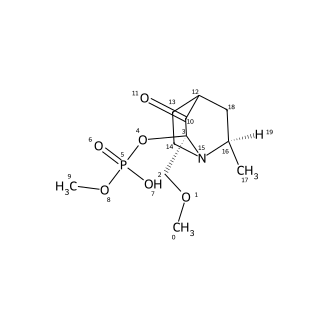 COC[C@]1(OP(=O)(O)OC)C(=O)C2CCN1[C@H](C)C2